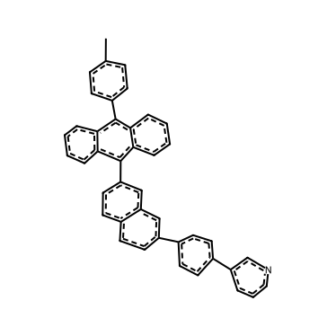 Cc1ccc(-c2c3ccccc3c(-c3ccc4ccc(-c5ccc(-c6cccnc6)cc5)cc4c3)c3ccccc23)cc1